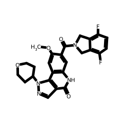 COc1cc2c(cc1C(=O)N1Cc3c(F)ccc(F)c3C1)[nH]c(=O)c1cnn(C3CCOCC3)c12